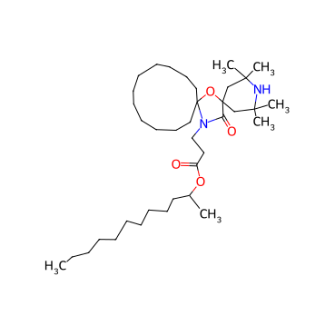 CCCCCCCCCCC(C)OC(=O)CCN1C(=O)C2(CC(C)(C)NC(C)(C)C2)OC12CCCCCCCCCCC2